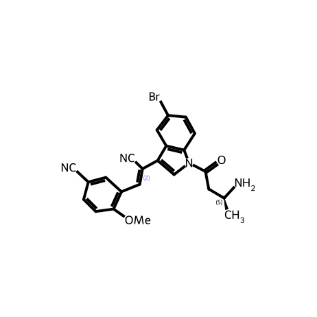 COc1ccc(C#N)cc1/C=C(\C#N)c1cn(C(=O)C[C@H](C)N)c2ccc(Br)cc12